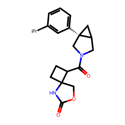 CC(C)c1cccc([C@]23CC2CN(C(=O)C2CCC24COC(=O)N4)C3)c1